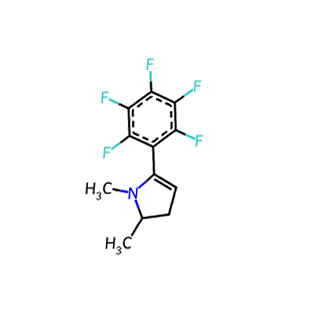 CC1CC=C(c2c(F)c(F)c(F)c(F)c2F)N1C